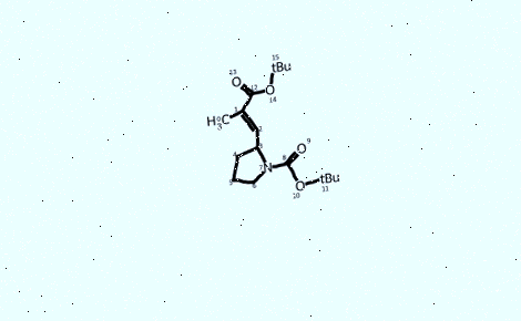 CC(=CC1CCCN1C(=O)OC(C)(C)C)C(=O)OC(C)(C)C